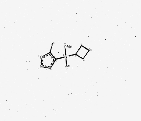 CO[N+](C(C)=O)(c1cnoc1C)C1CCC1